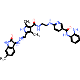 Cc1[nH]c(/C=N/N=C2\C(=O)Nc3cc(C(F)(F)F)ccc32)c(C)c1C(=O)NCCNc1ccc(C(=O)Nc2ccccc2N)cn1